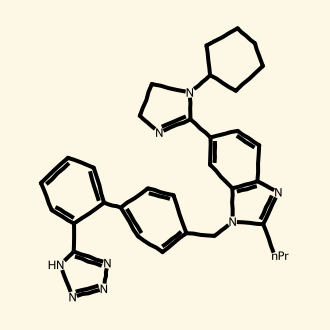 CCCc1nc2ccc(C3=NCCN3C3CCCCC3)cc2n1Cc1ccc(-c2ccccc2-c2nnn[nH]2)cc1